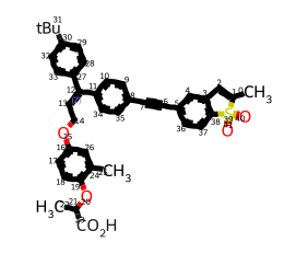 CC1=Cc2cc(C#Cc3ccc(/C(=C\COc4ccc(OC(C)C(=O)O)c(C)c4)c4ccc(C(C)(C)C)cc4)cc3)ccc2S1(=O)=O